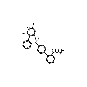 Cc1cc(OCc2ccc(-c3ccccc3C(=O)O)cc2)c(-c2ccccc2)c(C)n1